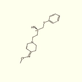 CON=C1CCN(CC[C@@H]([NH])CSc2ccccc2)CC1